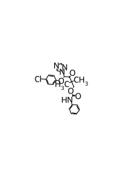 CC(C)(COC(=O)Nc1ccccc1)C(=O)C(Oc1ccc(Cl)cc1)n1cncn1